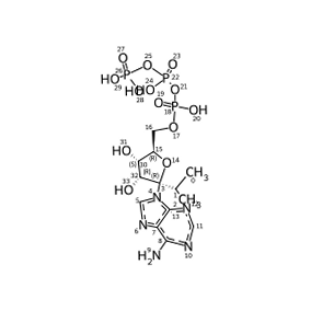 CC(C)[C@@]1(n2cnc3c(N)ncnc32)O[C@H](COP(=O)(O)OP(=O)(O)OP(=O)(O)O)[C@@H](O)[C@H]1O